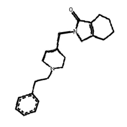 O=C1C2=C(CCCC2)CN1CC1CCN(CCc2ccccc2)CC1